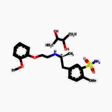 CCOc1ccccc1OCCN[C@H](C)Cc1ccc(OC)c(S(N)(=O)=O)c1.O=C(O)C(O)C(O)C(=O)O